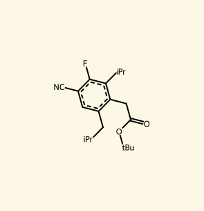 CC(C)Cc1cc(C#N)c(F)c(C(C)C)c1CC(=O)OC(C)(C)C